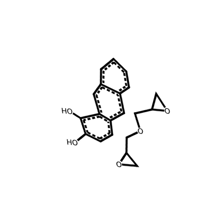 C(OCC1CO1)C1CO1.Oc1ccc2cc3ccccc3cc2c1O